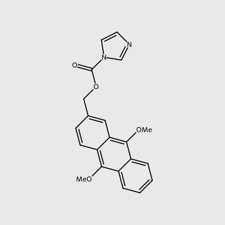 COc1c2ccccc2c(OC)c2cc(COC(=O)n3ccnc3)ccc12